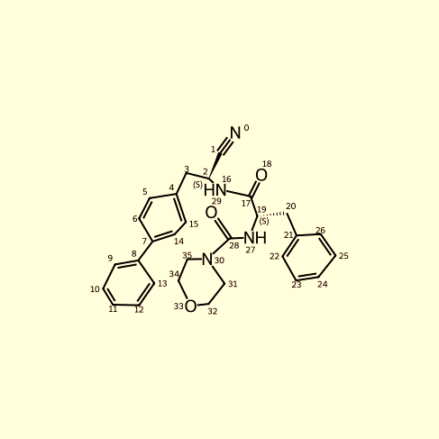 N#C[C@H](Cc1ccc(-c2ccccc2)cc1)NC(=O)[C@H](Cc1ccccc1)NC(=O)N1CCOCC1